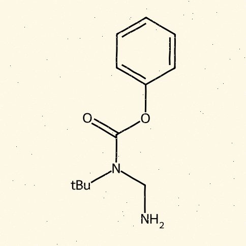 CC(C)(C)N(CN)C(=O)Oc1ccccc1